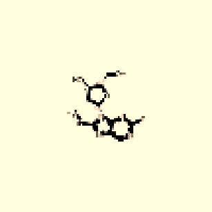 CNc1nc2cnc(F)nc2n1[C@@H]1C[C@@H](O)[C@H](CO)O1